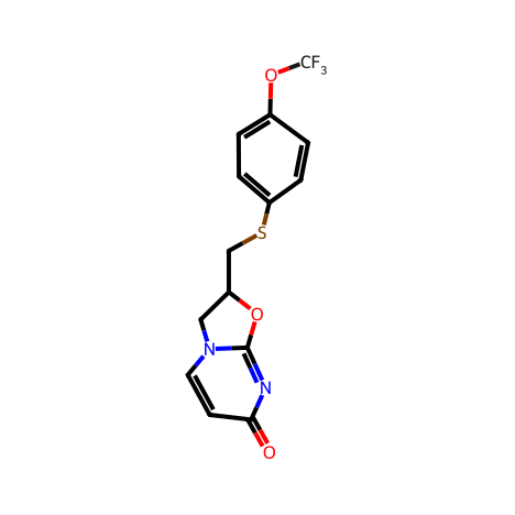 O=c1ccn2c(n1)OC(CSc1ccc(OC(F)(F)F)cc1)C2